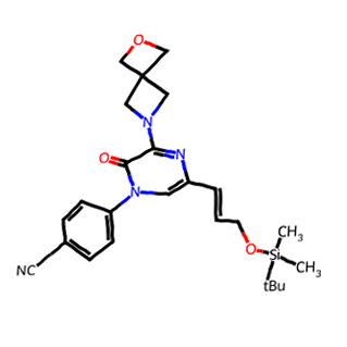 CC(C)(C)[Si](C)(C)OCC=Cc1cn(-c2ccc(C#N)cc2)c(=O)c(N2CC3(COC3)C2)n1